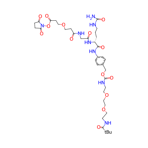 CC(C)(C)C(=O)NCCOCCOCCNC(=O)OCc1ccc(NC(=O)[C@@H](CCCNC(N)=O)NC(=O)CNC(=O)CCOCCC(=O)ON2C(=O)CCC2=O)cc1